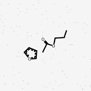 CCCOC(C)=O.c1ccoc1